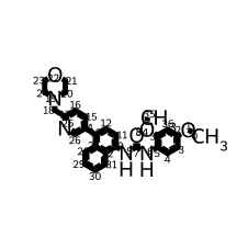 COc1ccc(NC(=O)Nc2ccc(-c3ccc(CN4CCOCC4)nc3)c3ccccc23)c(OC)c1